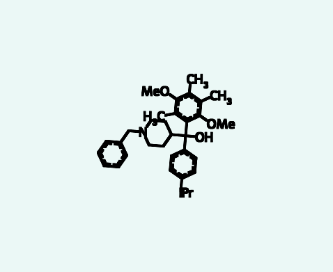 COc1c(C)c(C)c(OC)c(C(O)(c2ccc(C(C)C)cc2)C2CCN(Cc3ccccc3)CC2)c1C